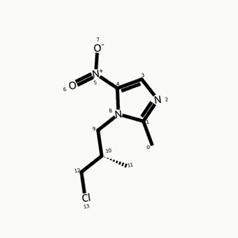 Cc1ncc([N+](=O)[O-])n1C[C@H](C)CCl